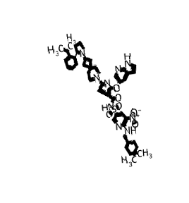 CC(C)c1ccccc1[C@H]1CCCN1C1CC2(CCN(c3ccc(C(=O)NS(=O)(=O)c4cnc(NCC5CCC(C)(C)CC5)c([N+](=O)[O-])c4)c(Oc4cnc5[nH]ccc5c4)n3)CC2)C1